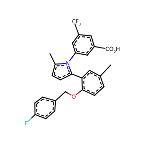 Cc1ccc(OCc2ccc(F)cc2)c(-c2ccc(C)n2-c2cc(C(=O)O)cc(C(F)(F)F)c2)c1